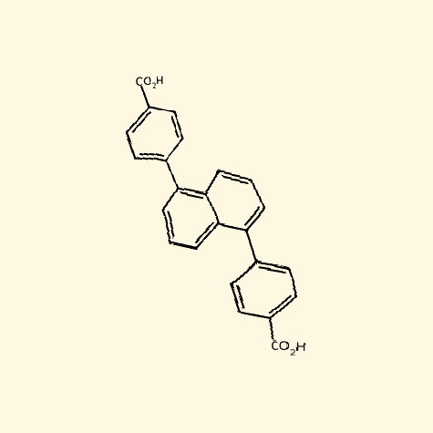 O=C(O)c1ccc(-c2cccc3c(-c4ccc(C(=O)O)cc4)cccc23)cc1